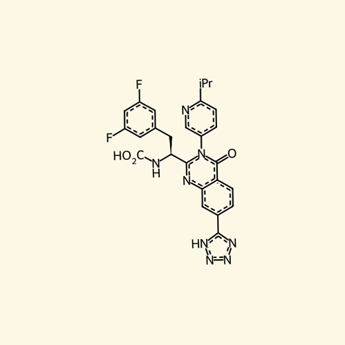 CC(C)c1ccc(-n2c([C@H](Cc3cc(F)cc(F)c3)NC(=O)O)nc3cc(-c4nnn[nH]4)ccc3c2=O)cn1